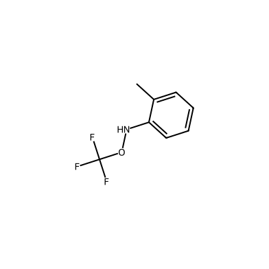 Cc1ccccc1NOC(F)(F)F